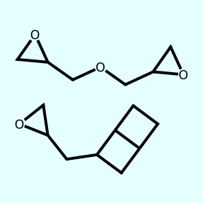 C(OCC1CO1)C1CO1.C1OC1CC1CC2CCC21